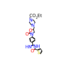 CCOC(=O)CN1CCN(CC2CN(c3ccc(C(=N)NC(=O)c4cccs4)cc3)C(=O)O2)CC1